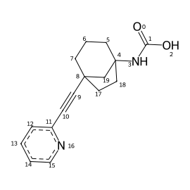 O=C(O)NC12CCCC(C#Cc3ccccn3)(CC1)C2